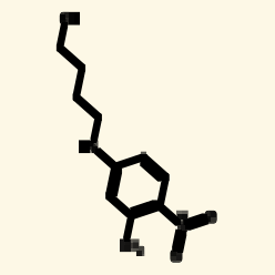 Nc1cc(NCCCCO)[c]cc1[SH](=O)=O